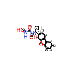 CC(c1ccc2c(c1)oc1ccccc12)N(O)C(=O)NO